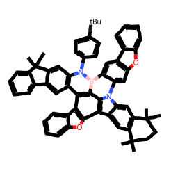 CC(C)(C)c1ccc(N2B3c4cc5c(cc4-n4c6cc7c(cc6c6c8oc9ccccc9c8c(c3c64)-c3cc4c(cc32)C(C)(C)c2ccccc2-4)C(C)(C)CCC7(C)C)oc2ccccc25)cc1